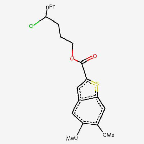 CCCC(Cl)CCCOC(=O)c1cc2cc(OC)c(OC)cc2s1